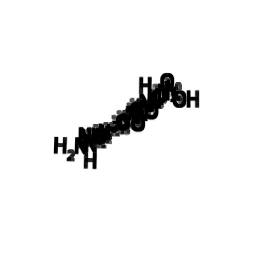 C[C@H](CO)C(=O)N1CCN(C(=O)Nc2ccn(-c3ccc(CCN4CCC(NC(=N)N)CC4)cc3)c(=O)n2)CC1